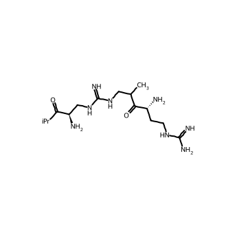 CC(C)C(=O)[C@H](N)CNC(=N)NCC(C)C(=O)[C@H](N)CCNC(=N)N